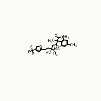 Cc1cc(C)c(C(C)(C(=O)O)C(=O)CC(C)(O)CCc2cc(C(F)(F)F)cs2)c(C)c1